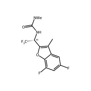 CNC(=O)N[C@H](c1oc2c(F)cc(F)cc2c1C)C(F)(F)F